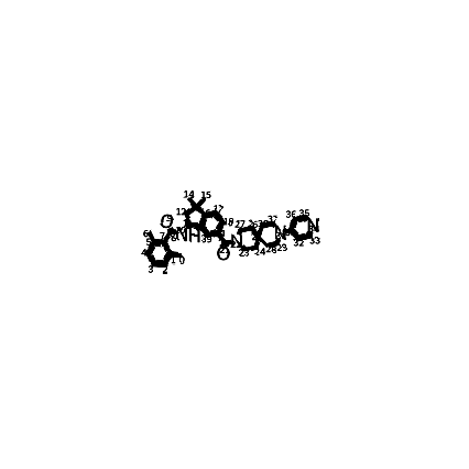 Cc1cccc(C)c1C(=O)NC1CC(C)(C)c2ccc(C(=O)N3CCC4(CC3)CCN(c3ccncc3)CC4)cc21